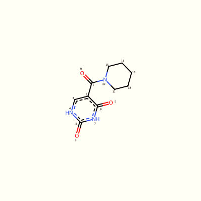 O=C(c1c[nH]c(=O)[nH]c1=O)N1CCCCC1